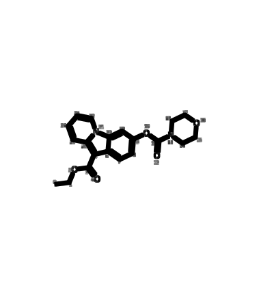 CCOC(=O)c1c2ccc(OC(=O)N3CCOCC3)cc2n2ccccc12